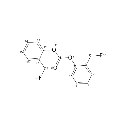 O=C(Oc1ccccc1CF)Oc1ccccc1CF